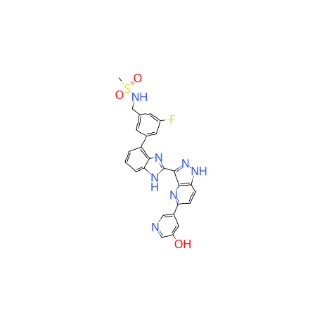 CS(=O)(=O)NCc1cc(F)cc(-c2cccc3[nH]c(-c4n[nH]c5ccc(-c6cncc(O)c6)nc45)nc23)c1